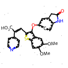 COc1cc2sc(C=C(C(=O)O)c3ccncc3)c(Oc3ccc4c(c3)CC(=O)N4)c2cc1OC